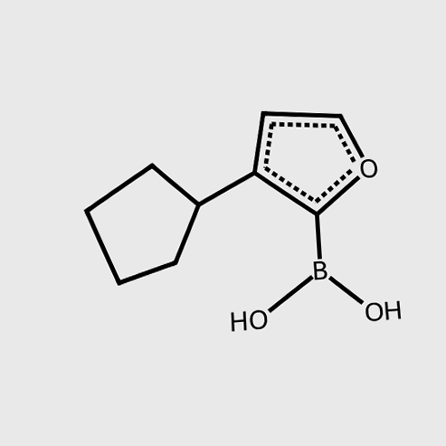 OB(O)c1occc1C1CCCC1